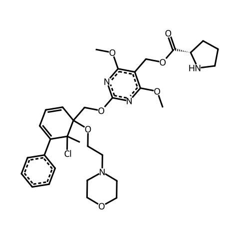 COc1nc(OCC2(OCCN3CCOCC3)C=CC=C(c3ccccc3)C2(C)Cl)nc(OC)c1COC(=O)[C@@H]1CCCN1